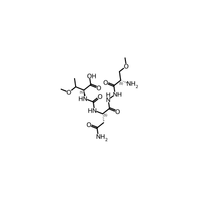 COC[C@H](N)C(=O)NNC(=O)[C@H](CC(N)=O)NC(=O)N[C@H](C(=O)O)C(C)OC